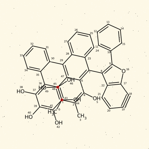 Cc1c(C)c(O)c2c(-c3c(-c4ccccc4)oc4c#cccc34)c3ccccc3c(-c3ccccc3-c3c(O)c(O)c(O)c(O)c3O)c2c1O